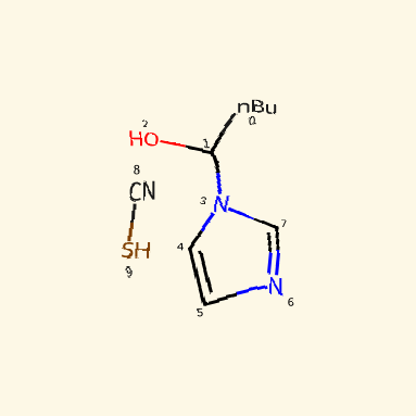 CCCCC(O)n1ccnc1.N#CS